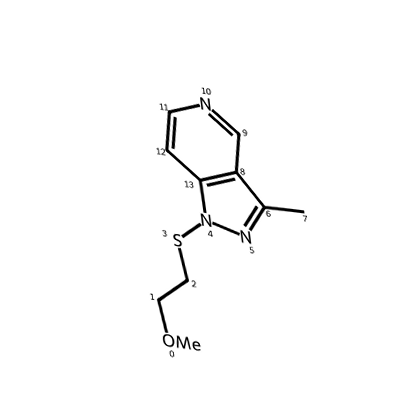 COCCSn1nc(C)c2cnccc21